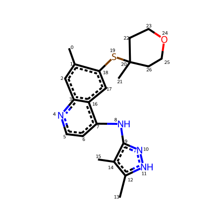 Cc1cc2nccc(Nc3n[nH]c(C)c3C)c2cc1SC1(C)CCOCC1